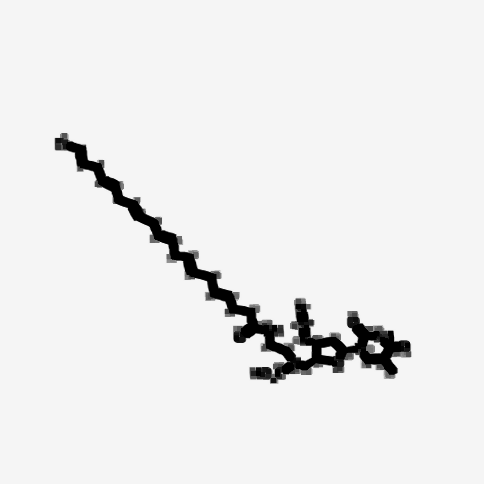 CCC=CCC=CCC=CCC=CCC=CCC=CCCC(=O)NCCN(C[C@@H]1O[C@H](n2cc(C)c(=O)[nH]c2=O)C[C@@H]1N=[N+]=[N-])C(=O)O